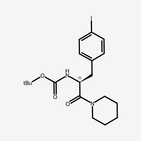 CC(C)(C)OC(=O)N[C@@H](Cc1ccc(I)cc1)C(=O)N1CCCCC1